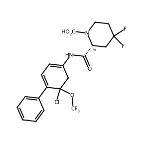 O=C(NC1=CC=C(c2ccccc2)C(Cl)(OC(F)(F)F)C1)[C@H]1CC(F)(F)CCN1C(=O)O